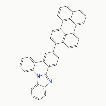 c1ccc2c(c1)nc1c3ccc(-c4ccc5c6cccc7cccc(c8cccc4c85)c76)cc3c3ccccc3n21